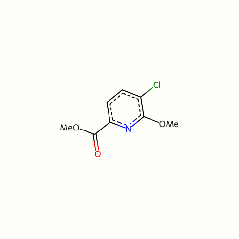 COC(=O)c1ccc(Cl)c(OC)n1